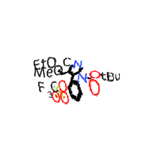 CCOC(=O)c1ncc2c(c1COC)c1c(OS(=O)(=O)C(F)(F)F)cccc1n2C(=O)OC(C)(C)C